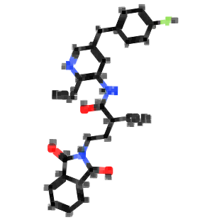 CCOC(=O)c1ncc(Cc2ccc(F)cc2)cc1NC(=O)C(CCN1C(=O)c2ccccc2C1=O)C(=O)OCC